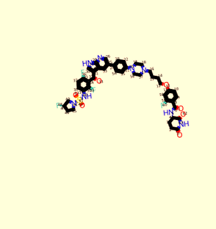 O=C1CC[C@H](NC(=O)c2ccc(OCCCCN3CCN(c4ccc(-c5cnc6[nH]cc(C(=O)c7c(F)ccc(NS(=O)(=O)N8CC[C@@H](F)C8)c7F)c6c5)cc4)CC3)cc2F)C(=O)N1